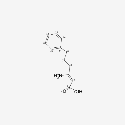 N/C(=C\C(=O)O)CCCc1ccccc1